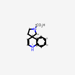 O=C(O)N1CCC2(C=CNc3ccccc32)C1